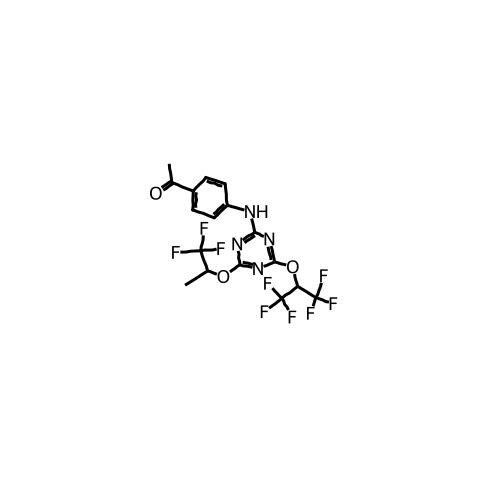 CC(=O)c1ccc(Nc2nc(OC(C)C(F)(F)F)nc(OC(C(F)(F)F)C(F)(F)F)n2)cc1